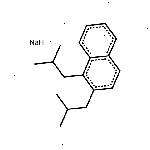 CC(C)Cc1ccc2ccccc2c1CC(C)C.[NaH]